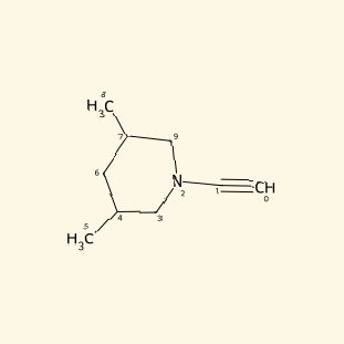 C#CN1CC(C)CC(C)C1